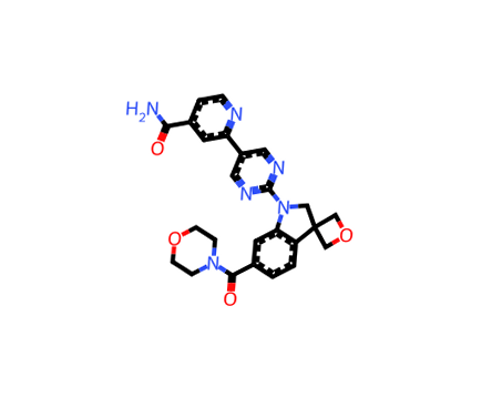 NC(=O)c1ccnc(-c2cnc(N3CC4(COC4)c4ccc(C(=O)N5CCOCC5)cc43)nc2)c1